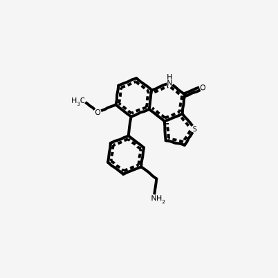 COc1ccc2[nH]c(=O)c3sccc3c2c1-c1cccc(CN)c1